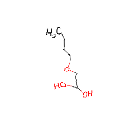 CCCCOCC(O)O